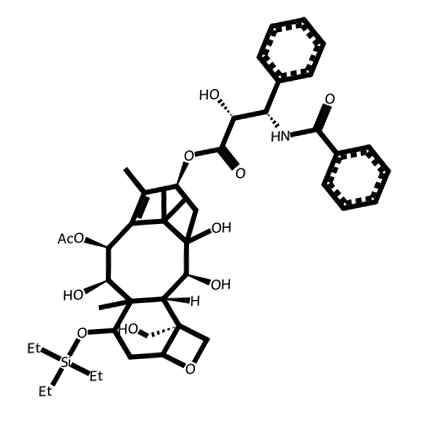 CC[Si](CC)(CC)OC1CC2OC[C@]2(CO)[C@H]2[C@H](O)C3(O)C[C@H](OC(=O)[C@H](O)[C@@H](NC(=O)c4ccccc4)c4ccccc4)C(C)=C([C@H](OC(C)=O)[C@H](O)C12C)C3(C)C